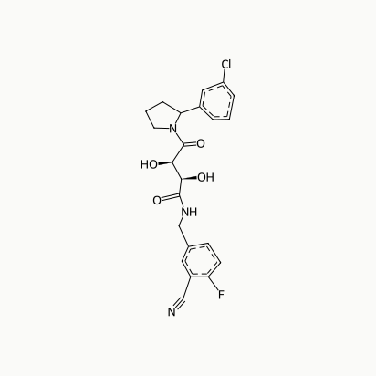 N#Cc1cc(CNC(=O)[C@H](O)[C@@H](O)C(=O)N2CCCC2c2cccc(Cl)c2)ccc1F